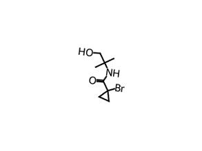 CC(C)(CO)NC(=O)C1(Br)CC1